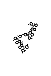 C=C1CC(C)=CC=C1N(c1cccc(C)c1)c1cc2sc3cc(N(c4cccc(C)c4)C4C=CC(Cc5ccc(N(c6cccc(C)c6)c6cc7sc8cc(N(c9cccc(C)c9)c9ccccc9C)c9ccccc9c8c7c7ccccc67)c(C)c5)=CC4=C)c4ccccc4c3c2c2ccccc12